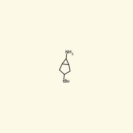 CC(C)(C)C1CC2C(N)C2C1